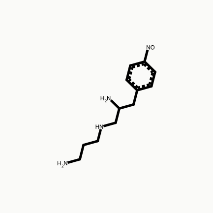 NCCCNCC(N)Cc1ccc(N=O)cc1